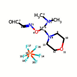 CN(C)[C+](ON=CC=O)N1CCOCC1.F[P-](F)(F)(F)(F)F